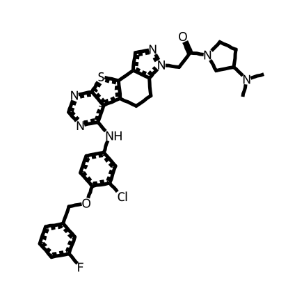 CN(C)C1CCN(C(=O)Cn2ncc3c2CCc2c-3sc3ncnc(Nc4ccc(OCc5cccc(F)c5)c(Cl)c4)c23)C1